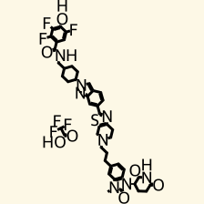 Cn1c(=O)n([C@@H]2CCC(=O)NC2=O)c2ccc(CCCN3CCc4nc(-c5ccc6cn(C7CCC(CNC(=O)c8cc(F)c(O)c(F)c8F)CC7)nc6c5)sc4C3)cc21.O=C(O)C(F)(F)F